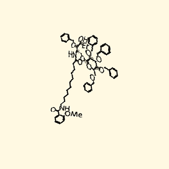 CC[C@@H](O)[C@@H](OCc1ccccc1)[C@H](CO[C@H]1OC(COCc2ccccc2)[C@H](OCc2ccccc2)C(OCc2ccccc2)[C@H]1OCc1ccccc1)NC(=O)CCCCCCCCCCCNC(=O)c1ccccc1OC